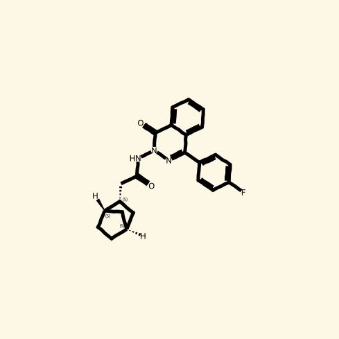 O=C(C[C@@H]1C[C@H]2CC[C@H]1C2)Nn1nc(-c2ccc(F)cc2)c2ccccc2c1=O